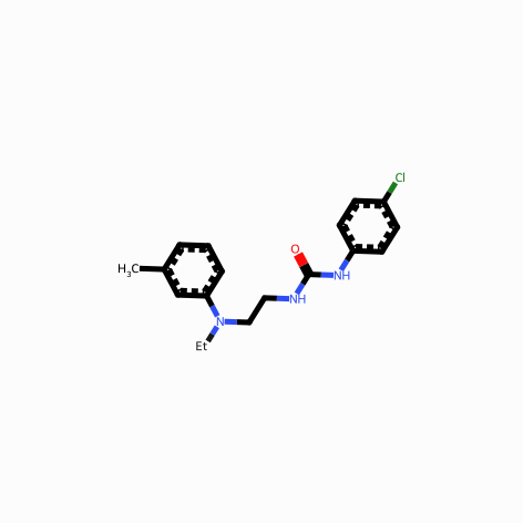 CCN(CCNC(=O)Nc1ccc(Cl)cc1)c1cccc(C)c1